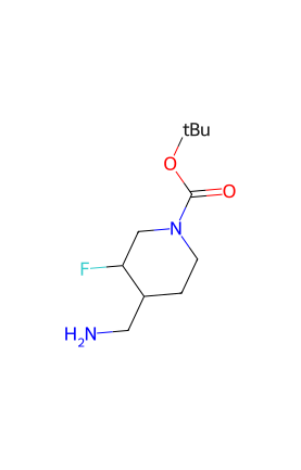 CC(C)(C)OC(=O)N1CCC(CN)C(F)C1